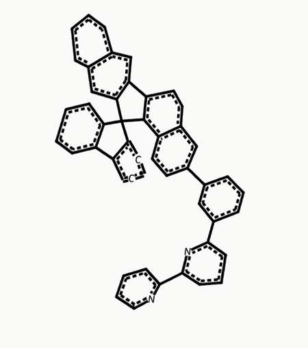 c1ccc(-c2cccc(-c3cccc(-c4ccc5c6c(ccc5c4)-c4cc5ccccc5cc4C64c5ccccc5-c5ccccc54)c3)n2)nc1